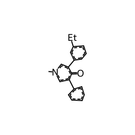 CCc1cccc(-c2cn(C)cc(-c3ccccc3)c2=O)c1